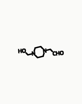 O=CCN1CCN(CO)CC1